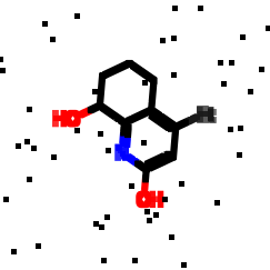 CCc1cc(O)nc2c1CCCC2O